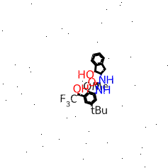 COc1c(NC(=O)N[C@@H]2Cc3ccccc3[C@H]2O)cc(C(C)(C)C)cc1[C@@H](O)C(F)(F)F